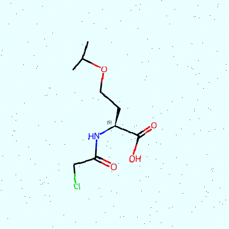 CC(C)OCC[C@H](NC(=O)CCl)C(=O)O